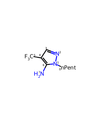 CCCCCn1ncc(C(F)(F)F)c1N